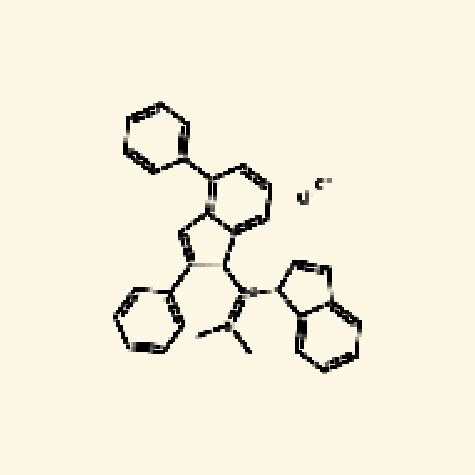 C[Si](C)=[Zr+2]([CH]1C=Cc2ccccc21)[CH]1C(c2ccccc2)=Cc2c(-c3ccccc3)cccc21.[Cl-].[Cl-]